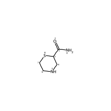 NC(=O)C1CNCCS1